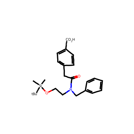 CC(C)(C)[Si](C)(C)OCCN(Cc1ccccc1)C(=O)Cc1ccc(C(=O)O)cc1